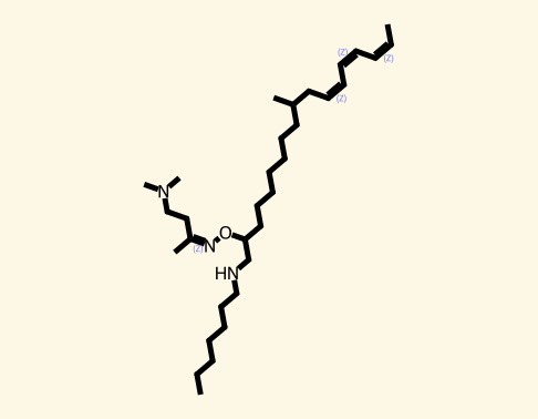 C\C=C/C=C\C=C/CC(C)CCCCCCCC(CNCCCCCCC)O/N=C(/C)CCN(C)C